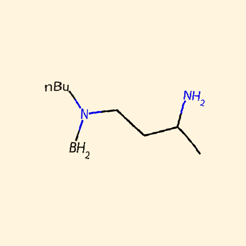 BN(CCCC)CCC(C)N